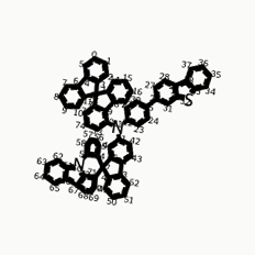 c1ccc2c(c1)-c1ccccc1C21c2ccccc2-c2c(N(c3ccc(-c4ccc5c(c4)sc4ccccc45)cc3)c3ccc4c(c3)C3(c5ccccc5-4)c4ccccc4-n4c5ccccc5c5cccc3c54)cccc21